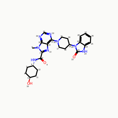 Cn1c(C(=O)N[C@H]2CC[C@H](O)CC2)nc2c(N3CCC(n4c(=O)[nH]c5ccccc54)CC3)ncnc21